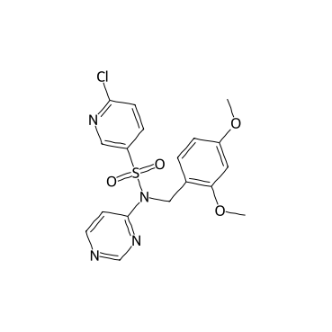 COc1ccc(CN(c2ccncn2)S(=O)(=O)c2ccc(Cl)nc2)c(OC)c1